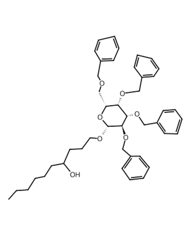 CCCCCCC(O)CCCO[C@@H]1O[C@H](COCc2ccccc2)[C@H](OCc2ccccc2)[C@H](OCc2ccccc2)[C@H]1OCc1ccccc1